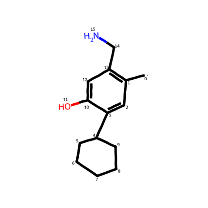 [CH2]c1cc(C2CCCCC2)c(O)cc1CN